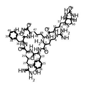 N=C(N)NCCC[C@H](N)C(=O)N[C@@H](Cc1ccc(O)cc1)C(=O)N[C@H](CCCNC(=N)N)C(=O)N[C@@H](Cc1ccccc1)C(=O)N[C@@H](CCCCNC(=O)CCCC[C@@H]1SC[C@@H]2NC(=O)N[C@@H]21)C(N)=O